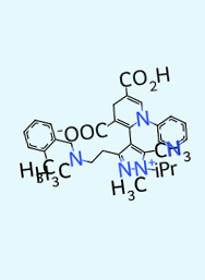 CC1=C(C2=C(C(=O)[O-])CC(C(=O)O)=CN2c2cccnc2)C(CCN(C)Cc2ccccc2C)=N[N+]1(C)C(C)C